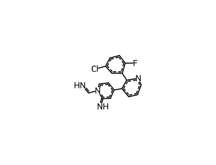 N=Cn1ccc(-c2cccnc2-c2cc(Cl)ccc2F)cc1=N